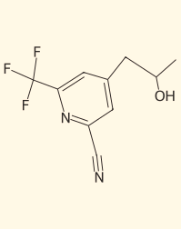 CC(O)Cc1cc(C#N)nc(C(F)(F)F)c1